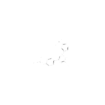 CCC(F)(F)c1cccc(N2C=C(c3ccc(OC(F)F)cc3)N=C(C)C2)c1